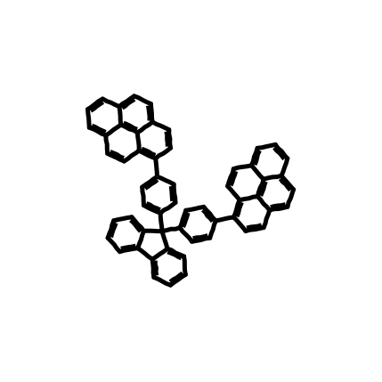 c1ccc2c(c1)-c1ccccc1C2(c1ccc(-c2ccc3ccc4cccc5ccc2c3c45)cc1)c1ccc(-c2ccc3ccc4cccc5ccc2c3c45)cc1